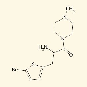 CN1CCN(C(=O)C(N)Cc2ccc(Br)s2)CC1